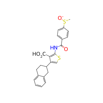 C[S+]([O-])c1ccc(C(=O)Nc2scc(C3CCc4ccccc4C3)c2C(=O)O)cc1